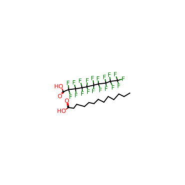 CCCCCCCCCCCCC(=O)O.O=C(O)C(F)(F)C(F)(F)C(F)(F)C(F)(F)C(F)(F)C(F)(F)C(F)(F)C(F)(F)C(F)(F)F